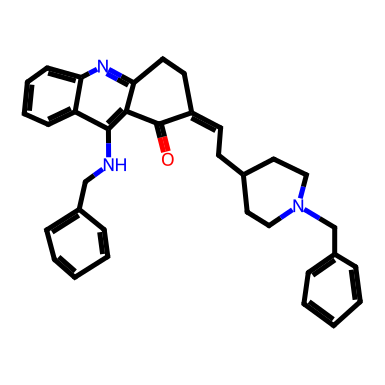 O=C1/C(=C\CC2CCN(Cc3ccccc3)CC2)CCc2nc3ccccc3c(NCc3ccccc3)c21